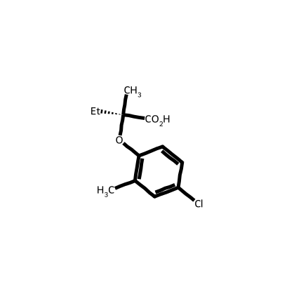 CC[C@@](C)(Oc1ccc(Cl)cc1C)C(=O)O